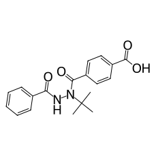 CC(C)(C)N(NC(=O)c1ccccc1)C(=O)c1ccc(C(=O)O)cc1